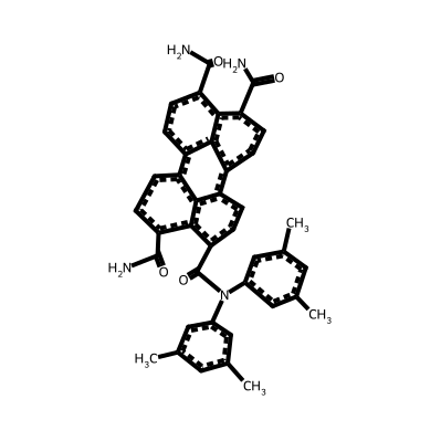 Cc1cc(C)cc(N(C(=O)c2ccc3c4ccc(C(N)=O)c5c(C(N)=O)ccc(c6ccc(C(N)=O)c2c63)c54)c2cc(C)cc(C)c2)c1